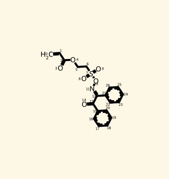 C=CC(=O)OCCS(=O)(=O)O/N=C(/C(=O)c1ccccc1)c1ccccc1